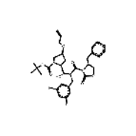 C=CCOC1CC([C@@H](O)[C@H](Cc2cc(F)cc(F)c2)C(=O)N2C(=O)OC[C@@H]2Cc2ccccc2)N(C(=O)OC(C)(C)C)C1